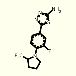 Nc1nnc(-c2ccc(N3CCCC3C(F)(F)F)c(F)c2)s1